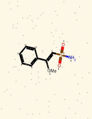 CO/C(=C\S(N)(=O)=O)c1ccccc1